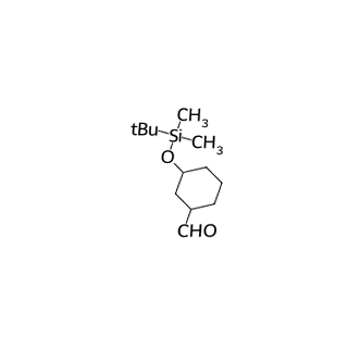 CC(C)(C)[Si](C)(C)OC1CCCC(C=O)C1